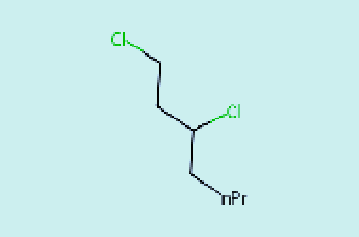 [CH2]CCCC(Cl)CCCl